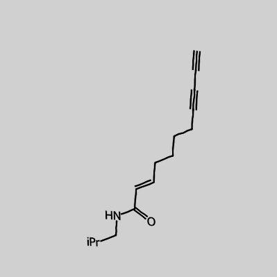 C#CC#CCCCC/C=C/C(=O)NCC(C)C